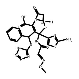 CON=CC(=O)NC1(c2csc(N)n2)S[C@H]2CC(=O)N2C(C(=O)O)=C1C(Sc1nnn[nH]1)c1ccccc1